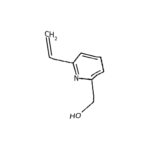 C=Cc1cccc(CO)n1